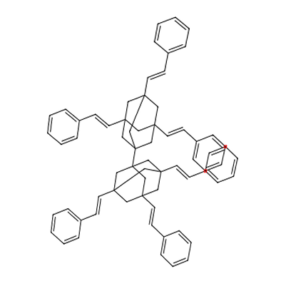 C(=C\C12CC3(/C=C/c4ccccc4)CC(/C=C/c4ccccc4)(C1)CC(C14CC5(/C=C/c6ccccc6)CC(/C=C/c6ccccc6)(CC(/C=C/c6ccccc6)(C5)C1)C4)(C2)C3)/c1ccccc1